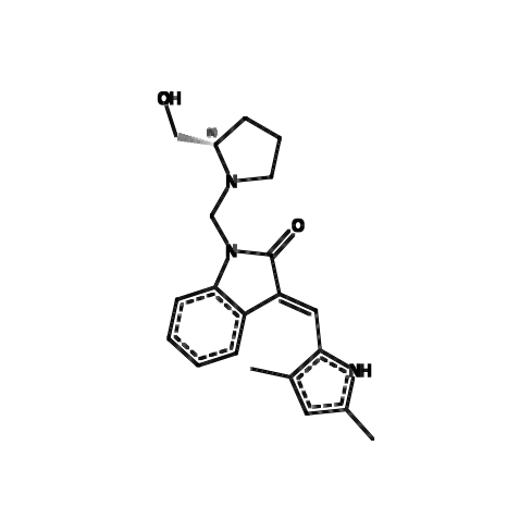 Cc1cc(C)c(C=C2C(=O)N(CN3CCC[C@H]3CO)c3ccccc32)[nH]1